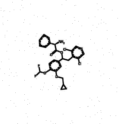 N[C@@H](C(=O)OC(Cc1c(Cl)cncc1Cl)c1ccc(OC(F)F)c(OCC2CC2)c1)c1ccccc1